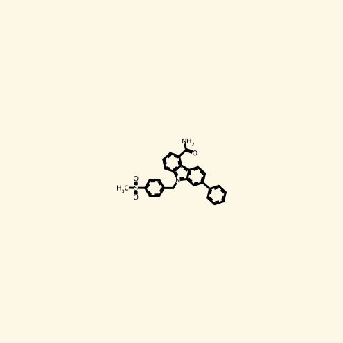 CS(=O)(=O)c1ccc(Cn2c3cc(-c4ccccc4)c[c]c3c3c(C(N)=O)cccc32)cc1